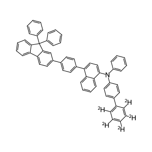 [2H]c1c([2H])c([2H])c(-c2ccc(N(c3ccccc3)c3ccc(-c4ccc(-c5ccc6c(c5)C(c5ccccc5)(c5ccccc5)c5ccccc5-6)cc4)c4ccccc34)cc2)c([2H])c1[2H]